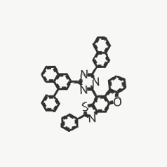 c1ccc(-c2nc3cc4oc5ccccc5c4c(-c4nc(-c5ccc6ccccc6c5)nc(-c5cc(-c6ccccc6)c6ccccc6c5)n4)c3s2)cc1